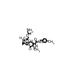 Cc1ccc(CNC(=O)c2nn(C)c3c2CCN(CC2(S(=O)(=O)C(C)(C)COC(F)CN)CC2)C3=O)cc1